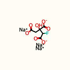 O=C([O-])CC(O)(C(=O)[O-])C(F)C(=O)[O-].[Na+].[Na+].[Na+]